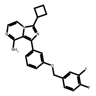 Nc1nccn2c(C3CCC3)nc(-c3cccc(OCc4ccc(F)c(F)c4)c3)c12